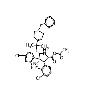 CC(C)(C[C@@H]1N[C@@H](C(=O)OC(=O)C(F)(F)F)[C@H](c2cccc(Cl)c2F)[C@@]1(C#N)c1ccc(Cl)cc1F)C1=CCN(Cc2ccccc2)CC1